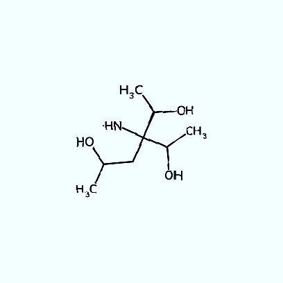 CC(O)CC([NH])(C(C)O)C(C)O